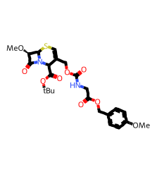 COc1ccc(COC(=O)CNC(=O)OCC2=CSC3[C@H](OC)C(=O)N3C2C(=O)OC(C)(C)C)cc1